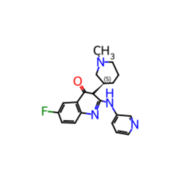 CN1CCC[C@@H](C2C(=O)c3cc(F)ccc3N=C2Nc2cccnc2)C1